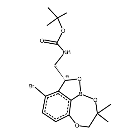 CC(C)(C)OC(=O)NC[C@@H]1OB2OC(C)(C)COc3ccc(Br)c1c32